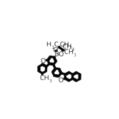 CC1C=Cc2oc3cc(B4OC(C)(C)C(C)(C)O4)cc(-c4ccc5oc6cc7ccccc7cc6c5c4)c3c2C1